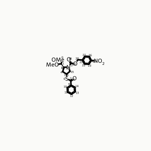 COC(OC)[C@@H]1C[C@H](SC(=O)c2ccccc2)CN1C(=O)OCc1ccc([N+](=O)[O-])cc1